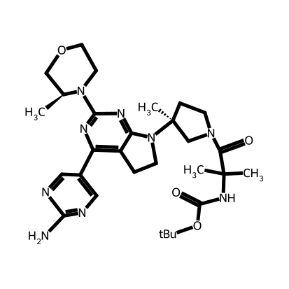 C[C@H]1COCCN1c1nc(-c2cnc(N)nc2)c2c(n1)N([C@@]1(C)CCN(C(=O)C(C)(C)NC(=O)OC(C)(C)C)C1)CC2